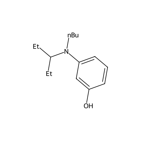 CCCCN(c1cccc(O)c1)C(CC)CC